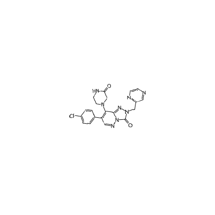 O=C1CN(c2c(-c3ccc(Cl)cc3)cnn3c(=O)n(Cc4cnccn4)nc23)CCN1